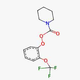 O=C(OOc1ccccc1OC(F)(F)F)N1CCCCC1